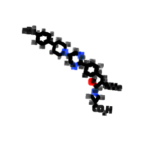 CCCCc1ccc(C2CCN(c3cnc(-c4ccc(CC(NC)C(=O)N5CC(C(=O)O)C5)cc4)nc3)CC2)cc1